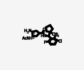 CC(=O)N[C@H]1CC(C(=O)NC(c2c(F)ccc(Cl)c2Cl)C2(C)CCCC2)C[C@H]1N